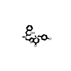 CN(Cc1cc2c(s1)C(=O)C=C[N+]2(C)Cc1ccc(Cl)cc1)C(CO)Cc1ccccc1